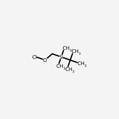 CC(C)(C)[Si](C)(C)COCl